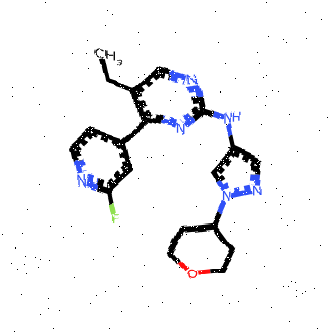 CCc1cnc(Nc2cnn(C3CCOCC3)c2)nc1-c1ccnc(F)c1